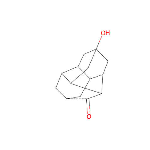 O=C1C2CC3C4CC5(O)CC3C1C(C5)C4C2